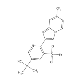 CCS(=O)(=O)c1cc(C(C)(C)C#N)cnc1-c1cn2cnc(C(F)(F)F)cc2n1